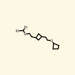 CCC(CC)OCCC1CC(CCOC2CCC2)C1